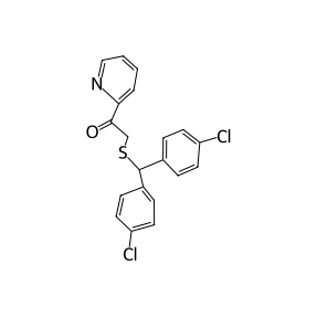 O=C(CSC(c1ccc(Cl)cc1)c1ccc(Cl)cc1)c1ccccn1